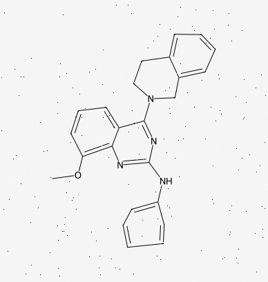 COc1cccc2c(N3CCc4ccccc4C3)nc(Nc3ccccc3)nc12